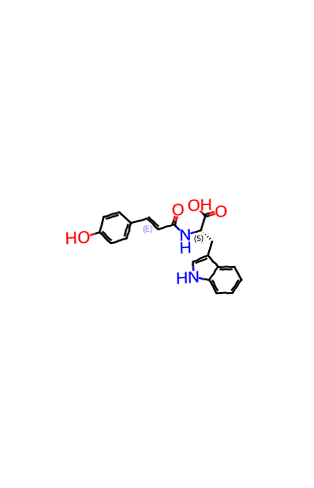 O=C(/C=C/c1ccc(O)cc1)N[C@@H](Cc1c[nH]c2ccccc12)C(=O)O